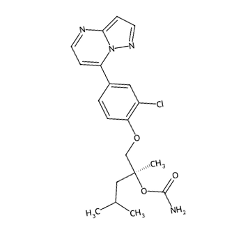 CC(C)C[C@@](C)(COc1ccc(-c2ccnc3ccnn23)cc1Cl)OC(N)=O